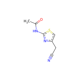 CC(=O)Nc1nc(CC#N)cs1